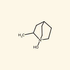 CC1CC2CC[N+]1(O)CC2